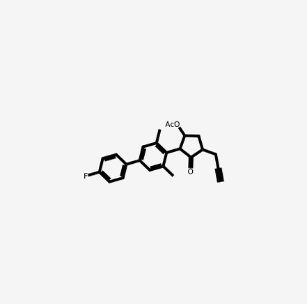 C#CCC1CC(OC(C)=O)C(c2c(C)cc(-c3ccc(F)cc3)cc2C)C1=O